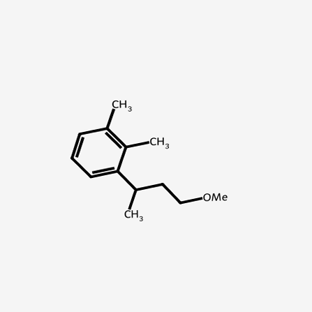 COCC[C](C)c1cccc(C)c1C